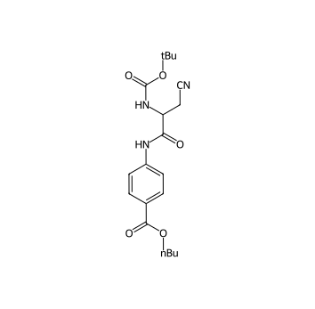 CCCCOC(=O)c1ccc(NC(=O)C(CC#N)NC(=O)OC(C)(C)C)cc1